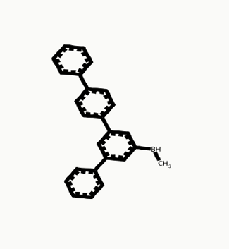 CBc1cc(-c2ccccc2)cc(-c2ccc(-c3ccccc3)cc2)c1